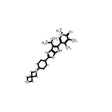 Cc1c(-c2[nH]c3sc(C4CCC(N5CC6(COC6)C5)CC4)nc3c2C(C)C)cn(C)c(=O)c1C